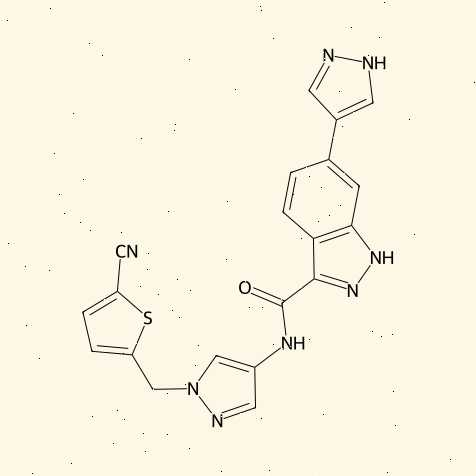 N#Cc1ccc(Cn2cc(NC(=O)c3n[nH]c4cc(-c5cn[nH]c5)ccc34)cn2)s1